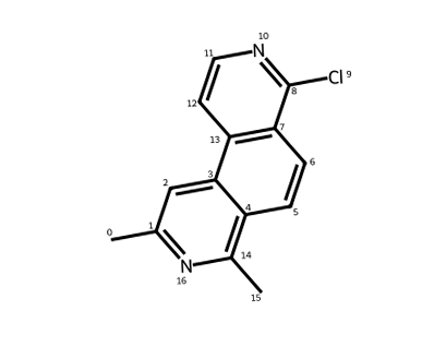 Cc1cc2c(ccc3c(Cl)nccc32)c(C)n1